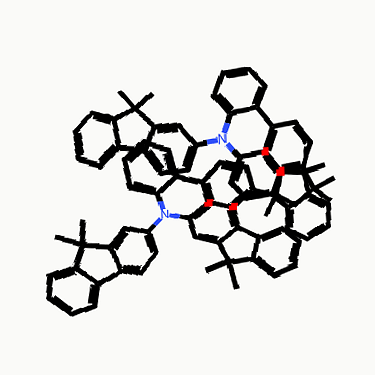 CC1(C)CC(C)(c2ccc(-c3ccccc3N(c3ccc4c(c3)C(C)(C)c3ccccc3-4)c3ccc4c(c3)C(C)(C)c3ccccc3-4)cc2)c2cc(-c3ccccc3N(c3ccc4c(c3)C(C)(C)c3ccccc3-4)c3ccc4c(c3)C(C)(C)c3ccccc3-4)ccc21